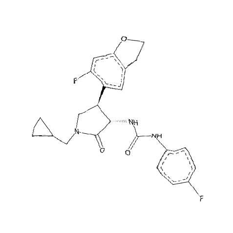 O=C(Nc1ccc(F)cc1)N[C@@H]1C(=O)N(CC2CC2)C[C@H]1c1cc2c(cc1F)OCC2